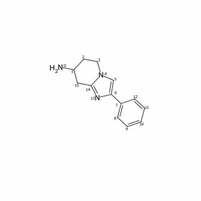 NC1CCn2cc(-c3ccccc3)nc2C1